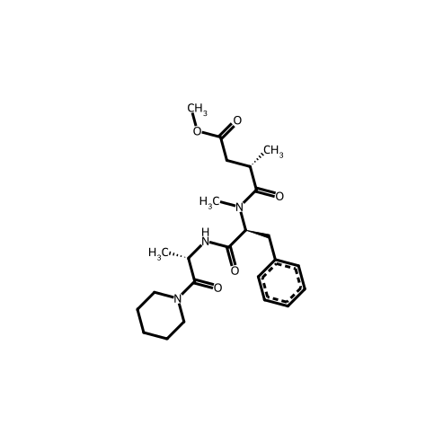 COC(=O)C[C@H](C)C(=O)N(C)[C@@H](Cc1ccccc1)C(=O)N[C@@H](C)C(=O)N1CCCCC1